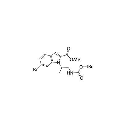 COC(=O)c1cc2ccc(Br)cc2n1C(C)CNC(=O)OC(C)(C)C